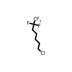 FC(F)(F)C(F)(F)CCCCCCl